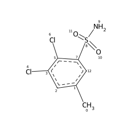 Cc1cc(Cl)c(Cl)c(S(N)(=O)=O)c1